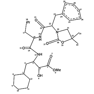 COC(=O)C(O)C(CC1CCCCC1)NC(=O)C(CC(C)C)NC(=O)C(Cc1ccccc1)N1CC(C)(C)OC1=O